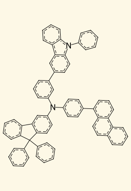 c1ccc(-n2c3ccccc3c3cc(-c4cccc(N(c5ccc(-c6cccc7c6ccc6ccccc67)cc5)c5ccc6c(c5)-c5ccccc5C6(c5ccccc5)c5ccccc5)c4)ccc32)cc1